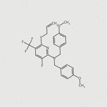 C=CCSc1nc(N(Cc2ccc(OC)cc2)Cc2ccc(OC)cc2)c(F)cc1C(F)(F)F